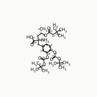 C[C@@H](CC(N)(Cc1ccc(OC(=O)OC(C)(C)C)c(OC(=O)OC(C)(C)C)c1)C(=O)O)OC(=O)CC(C)(C)C